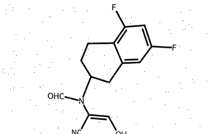 N#CC(=CO)N(C=O)C1CCc2c(F)cc(F)cc2C1